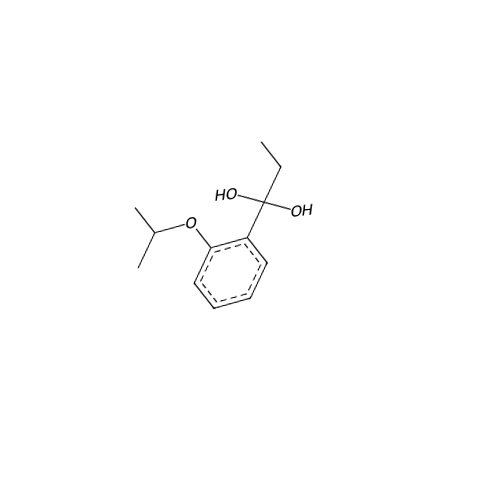 CCC(O)(O)c1ccccc1OC(C)C